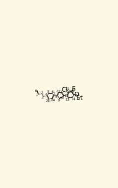 C=CCCc1ccc(-c2ccc(-c3ccc(OCC)c(F)c3Cl)cc2)cc1